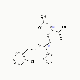 O=C(O)/C=C(\O/N=C(\NCCc1ccccc1Cl)c1cccs1)C(=O)O